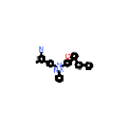 Cc1cc(C#N)cc(-c2ccc(-c3nc(-c4ccccc4)nc(-c4ccc5c(c4)oc4cccc(-c6cccc(-c7ccccc7)c6)c45)n3)cc2)c1